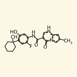 Cc1cc2[nH]cc(C(=O)Nc3cc(O)c(C4(C)CCCCC4)cc3F)c(=O)n2c1